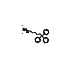 [Sn][O]CCCCCC(c1ccccc1)(c1ccccc1)c1ccccc1